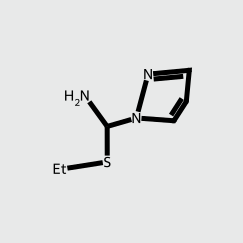 CCSC(N)n1cccn1